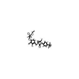 CCOC(=O)C(C)(C)Oc1ccc(Cn2nc(C)n(-c3ccc(C(F)(F)F)cc3)c2=O)c(C)c1C